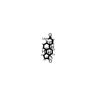 C[C@]12C=CC(=O)[14CH2]C1CC[C@@H]1[C@@H]2CC[C@]2(C)C(=O)CC[C@@H]12